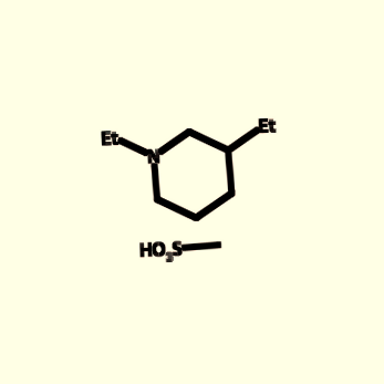 CCC1CCCN(CC)C1.CS(=O)(=O)O